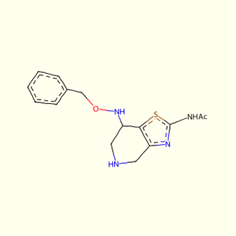 CC(=O)Nc1nc2c(s1)C(NOCc1ccccc1)CNC2